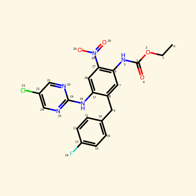 CCOC(=O)Nc1cc(Cc2ccc(F)cc2)c(Nc2ncc(Cl)cn2)cc1[N+](=O)[O-]